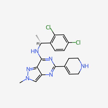 C[C@@H](Nc1nc(C2=CCNCC2)nc2cn(C)nc12)c1ccc(Cl)cc1Cl